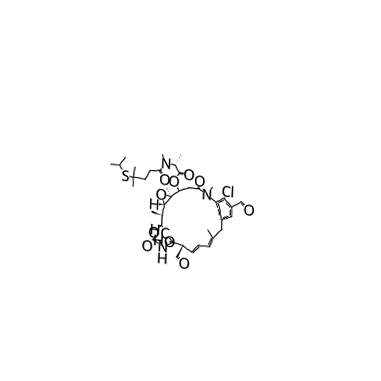 C/C1=C\C=C\[C@@H](C=O)[C@@]2(O)C[C@H](OC(=O)N2)[C@@H](C)[C@@H]2O[C@@]2(C)[C@@H](OC(=O)[C@@H](C)N(C)C(=O)CCC(C)(C)SC(C)C)CC(=O)N(C)c2cc(cc(C=O)c2Cl)C1